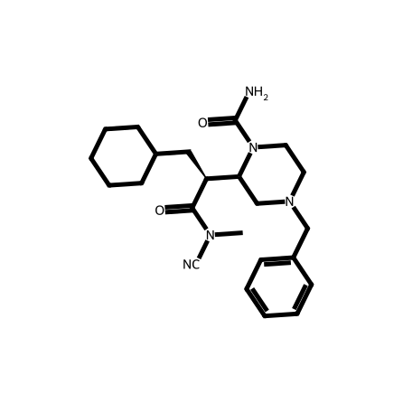 CN(C#N)C(=O)[C@@H](CC1CCCCC1)C1CN(Cc2ccccc2)CCN1C(N)=O